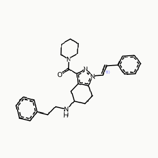 O=C(c1nn(/C=C/c2ccccc2)c2c1CC(NCCc1ccccc1)CC2)N1CCCCC1